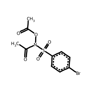 CC(=O)ON(C(C)=O)S(=O)(=O)c1ccc(Br)cc1